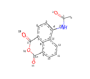 CC(=O)Nc1ccc2c3c(cccc13)C(=O)OC2=O